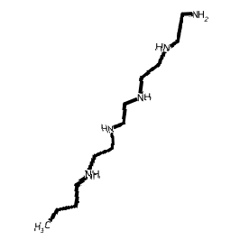 CCCCNCCNCCNCCNCCN